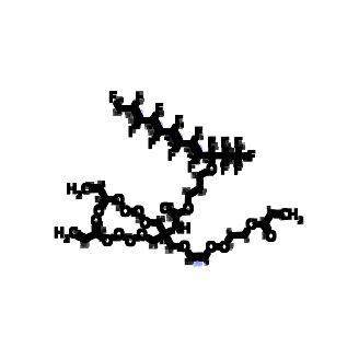 C=CC(=O)OCCOO/C=C\OCC(COOOOC(=O)C=C)(COOOOC(=O)C=C)NC(=O)OCCCOC(F)(/C(F)=C(F)/C(F)=C(F)/C(F)=C(F)/C(F)=C(\F)CF)C(F)(F)C(F)(F)F